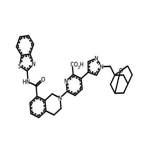 O=C(Nc1nc2ccccc2s1)c1cccc2c1CN(c1ccc(-c3cnn(CC45CC6CC(CC(C6)O4)C5)c3)c(C(=O)O)n1)CC2